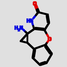 NC12CC1c1ccccc1Oc1ccc(=O)[nH]c12